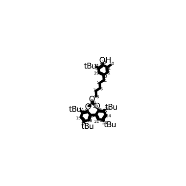 Cc1cc(CCCCCOp2oc3c(C(C)(C)C)cc(C(C)(C)C)cc3c3cc(C(C)(C)C)cc(C(C)(C)C)c3o2)cc(C(C)(C)C)c1O